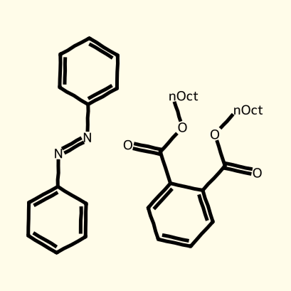 CCCCCCCCOC(=O)c1ccccc1C(=O)OCCCCCCCC.c1ccc(N=Nc2ccccc2)cc1